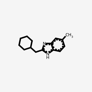 Cc1ccc2[nH]c(CC3CCCCC3)nc2c1